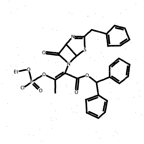 CCOP(=O)(Cl)OC(C)=C(C(=O)OC(c1ccccc1)c1ccccc1)N1C(=O)C2N=C(Cc3ccccc3)SC21